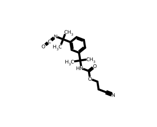 CC(C)(N=C=O)c1cccc(C(C)(C)NC(=O)OCCC#N)c1